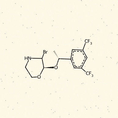 C[C@@H](O[C@H]1OCCNC1Br)c1cc(C(F)(F)F)cc(C(F)(F)F)c1